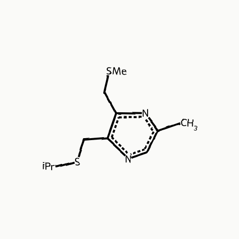 CSCc1nc(C)cnc1CSC(C)C